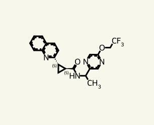 CC(NC(=O)[C@H]1C[C@@H]1c1ccc2ccccc2n1)c1cnc(OCC(F)(F)F)cn1